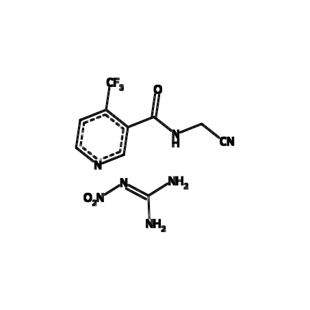 N#CCNC(=O)c1cnccc1C(F)(F)F.NC(N)=N[N+](=O)[O-]